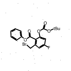 CC(C)(C)OC(=O)Oc1cc(F)cc(CBr)c1C(=O)Oc1ccccc1